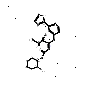 N=C(/N=C(/Nc1cccc(-c2ncco2)c1)C(=N)C(N)=O)N[C@@H]1CCCC[C@@H]1N